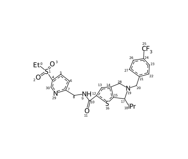 CCS(=O)(=O)c1ccc(CNC(=O)c2cc3c(s2)C(C(C)C)N(Cc2ccc(C(F)(F)F)cc2)C3)nc1